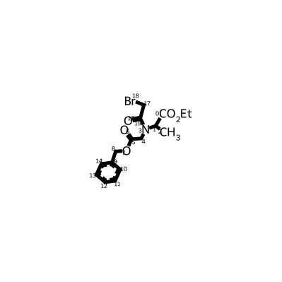 CCOC(=O)C(C)N(CC(=O)OCc1ccccc1)C(=O)CBr